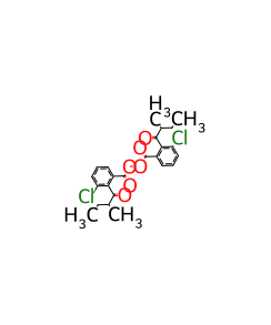 CCC(C)C(=O)c1c(Cl)cccc1C(=O)OOC(=O)c1cccc(Cl)c1C(=O)C(C)CC